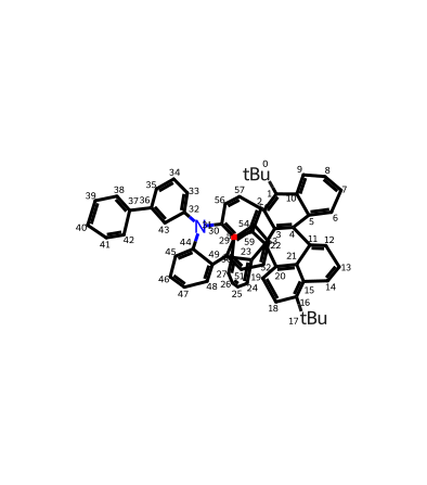 CC(C)(C)c1cc2c(c3ccccc13)-c1cccc3c(C(C)(C)C)ccc(c13)C21c2ccccc2-c2c(N(c3cccc(-c4ccccc4)c3)c3ccccc3-c3ccccc3)cccc21